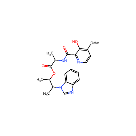 COc1ccnc(C(=O)NC(C)C(=O)OC(C)C(C)n2cnc3ccccc32)c1O